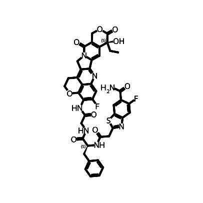 CC[C@@]1(O)C(=O)OCc2c1cc1n(c2=O)Cc2c-1nc1cc(F)c(NC(=O)CNC(=O)[C@H](Cc3ccccc3)NC(=O)Cc3nc4cc(F)c(C(N)=O)cc4s3)c3c1c2CCO3